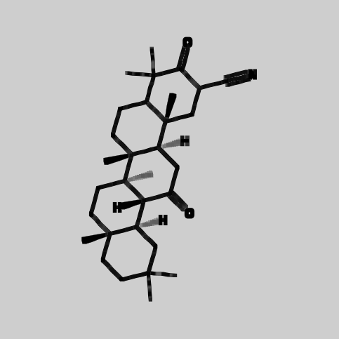 CC1(C)CC[C@]2(C)CC[C@]3(C)[C@H](C(=O)C[C@@H]4[C@@]5(C)CC(C#N)C(=O)C(C)(C)C5CC[C@]43C)[C@H]2C1